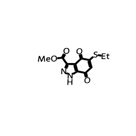 CCSC1=CC(=O)c2[nH]nc(C(=O)OC)c2C1=O